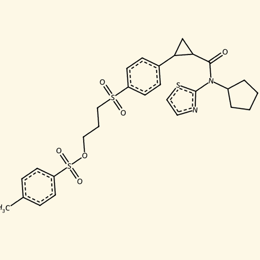 Cc1ccc(S(=O)(=O)OCCCS(=O)(=O)c2ccc(C3CC3C(=O)N(c3nccs3)C3CCCC3)cc2)cc1